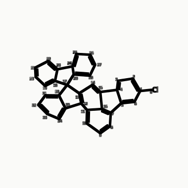 Clc1ccc2c(c1)-c1cccc3c4c(cc-2c13)C1(c2ccccc2-c2ccccc21)c1ccccc1-4